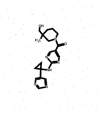 CC1(CO)CCCN(C(=O)c2cnc(NC3(c4cncnc4)CC3)nc2)C1